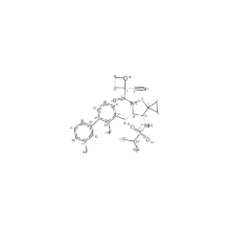 N#C[C@]1(C(=O)N2CC3(CC3)[C@H](NS(=O)(=O)C(F)F)[C@@H]2Cc2cccc(-c3cccc(F)c3)c2F)CCO1